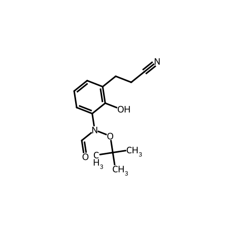 CC(C)(C)ON(C=O)c1cccc(CCC#N)c1O